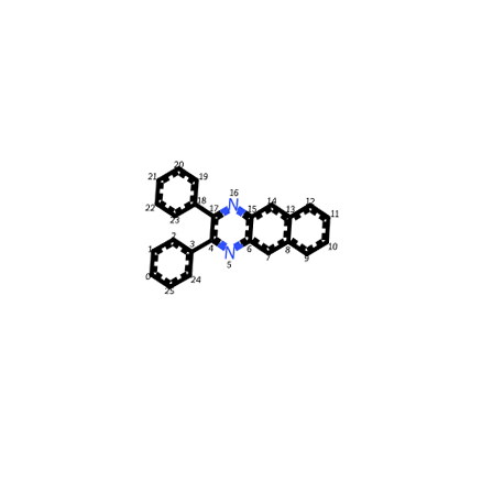 c1ccc(-c2nc3cc4ccccc4cc3nc2-c2ccccc2)cc1